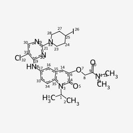 CC(C)n1c(=O)c(OCC(=O)N(C)C)cc2cc(Nc3nc(N4CCC(I)CC4)ncc3Cl)ccc21